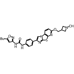 CN1CC(COc2ccc3c(n2)sc2nc(-c4ccc(NC(=O)Nc5cc(C(C)(C)C)on5)cc4)cn23)C1